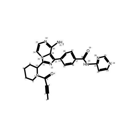 CC#CC(=O)N1CCCCC1c1nc(-c2ccc(C(=O)Nc3ccncn3)cc2)c2c(N)nccn12